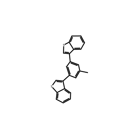 Cc1cc(-c2csc3ccccc23)[c]c(-c2csc3ccccc23)c1